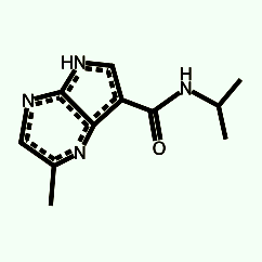 Cc1cnc2[nH]cc(C(=O)NC(C)C)c2n1